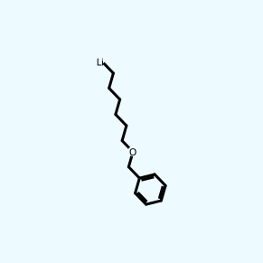 [Li][CH2]CCCCCOCc1ccccc1